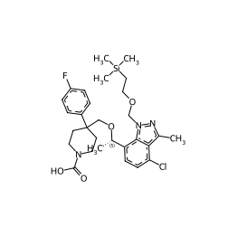 Cc1nn(COCC[Si](C)(C)C)c2c([C@H](C)OCC3(c4ccc(F)cc4)CCN(C(=O)O)CC3)ccc(Cl)c12